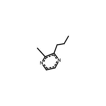 CCCc1nccnc1C